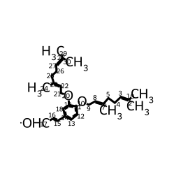 CC(C)=CCC/C(C)=C/COc1ccc(C=C[C]=O)cc1OC/C=C(\C)CCC=C(C)C